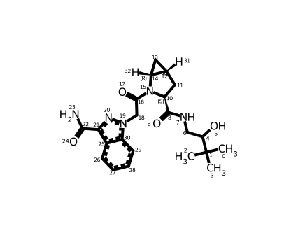 CC(C)(C)C(O)CNC(=O)[C@@H]1C[C@H]2C[C@H]2N1C(=O)Cn1nc(C(N)=O)c2ccccc21